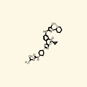 Cc1cc(Nc2ccc(-c3cnc([C@H]4CC[C@H](NC(=O)OC(C)C)CC4)s3)c(S(=O)(=O)C3CC3)c2)nn1C1CCCCO1